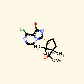 COC(=O)[C@@]1(C)CC[C@@H](c2nc(Br)c3c(Cl)nccn23)C1(C)C